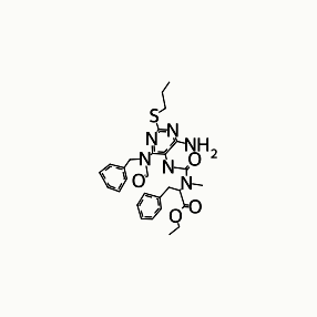 CCCSc1nc(N)c(N(C)C(=O)N(C)C(Cc2ccccc2)C(=O)OCC)c(N(C=O)Cc2ccccc2)n1